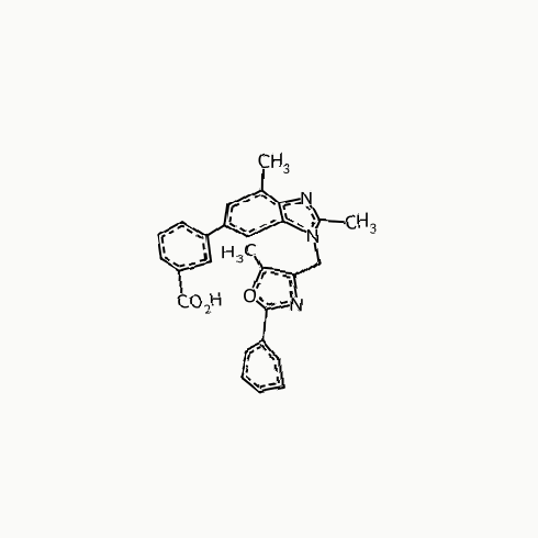 Cc1oc(-c2ccccc2)nc1Cn1c(C)nc2c(C)cc(-c3cccc(C(=O)O)c3)cc21